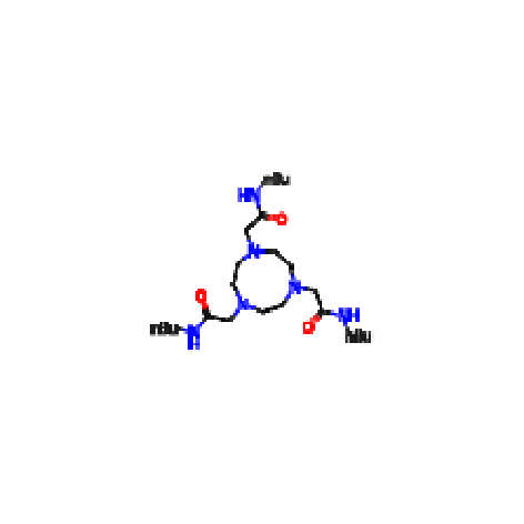 CCCCNC(=O)CN1CCN(CC(=O)NCCCC)CCN(CC(=O)NCCCC)CC1